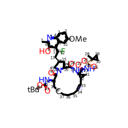 COc1ccc2nc(C)c(O)c([C@H](F)C[C@H]3C[C@H]4C(=O)NC5(C(=O)NS(=O)(=O)C6(C)CC6)CC5/C=C\CCCCCC(NC(=O)OC(C)(C)C)C(=O)N4C3)c2c1